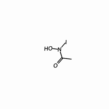 CC(=O)N(O)I